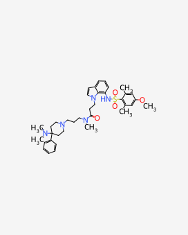 COc1cc(C)c(S(=O)(=O)Nc2cccc3ccn(CCC(=O)N(C)CCCN4CCC(c5ccccc5)(N(C)C)CC4)c23)c(C)c1